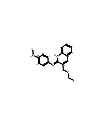 CCOCc1cc2ccccc2o/c1=N\c1ccc(OC)cc1